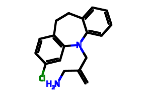 C=C(CN)CN1c2ccccc2CCc2ccc(Cl)cc21